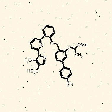 COC(C)Oc1cc(-c2ccc(C#N)cc2)ccc1COc1ccccc1-c1cccc(-n2ncc(C(=O)O)c2C(F)(F)F)n1